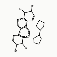 BrC1C=Cc2c(ccc3c4c(ccc23)C(Br)C(Br)C=C4)C1Br.C1CCC(C2CCCC2)C1